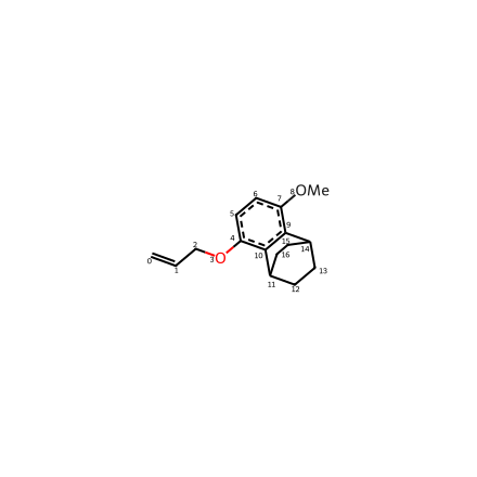 C=CCOc1ccc(OC)c2c1C1CCC2CC1